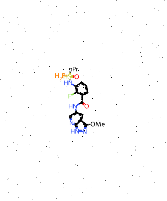 CCC[SH](=O)(P)Nc1cccc(C(=O)Nc2cnc3[nH]nc(OC)c3c2)c1F